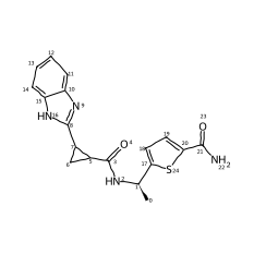 C[C@@H](NC(=O)C1CC1c1nc2ccccc2[nH]1)c1ccc(C(N)=O)s1